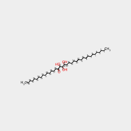 CCCCCCCCCCCCCCCCCCC(O)C(O)C(O)C(=O)CCCCCCCCCCCCCCC